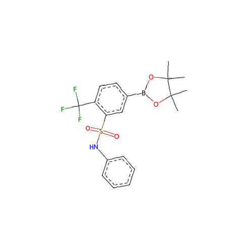 CC1(C)OB(c2ccc(C(F)(F)F)c(S(=O)(=O)Nc3ccccc3)c2)OC1(C)C